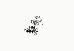 CCCCNc1c(NCCNC(=O)[C@H](N)CN)c(=O)c1=O